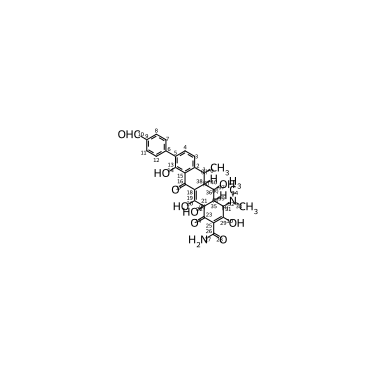 C[C@@H]1c2ccc(-c3ccc(C=O)cc3)c(O)c2C(=O)C2=C(O)[C@@]3(O)C(=O)C(C(N)=O)=C(O)[C@H](N(C)C)[C@H]3[C@H](O)[C@H]21